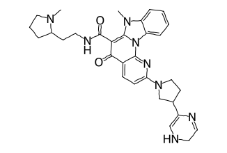 CN1CCCC1CCNC(=O)c1c(=O)c2ccc(N3CCC(C4=CNCC=N4)C3)nc2n2c3ccccc3n(C)c12